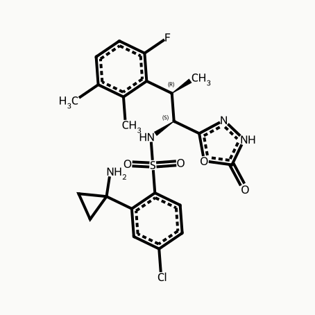 Cc1ccc(F)c([C@@H](C)[C@H](NS(=O)(=O)c2ccc(Cl)cc2C2(N)CC2)c2n[nH]c(=O)o2)c1C